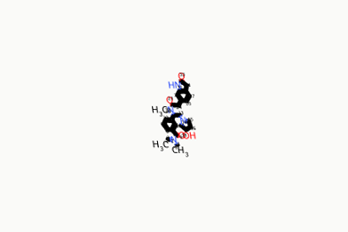 CCN(CC)C(=O)c1cccc(C(CN2CC[C@H](O)C2)N(C)C(=O)Cc2ccc3c(c2)NC(=O)C3)c1